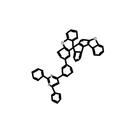 c1ccc(-c2cc(-c3cccc(-c4ccc5c(c4)C4(c6ccccc6O5)c5ccccc5-c5c4ccc4oc6ccccc6c54)c3)nc(-c3ccccc3)n2)cc1